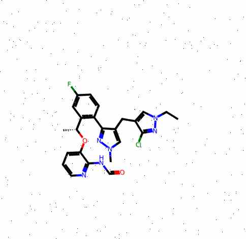 CCn1cc(Cc2cn(C)nc2-c2ccc(F)cc2[C@@H](C)Oc2cccnc2NC=O)c(Cl)n1